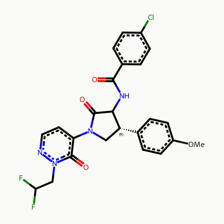 COc1ccc([C@@H]2CN(c3ccnn(CC(F)F)c3=O)C(=O)C2NC(=O)c2ccc(Cl)cc2)cc1